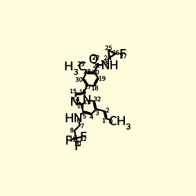 CC=Cc1cc(NCCC(F)(F)F)c2ncc(-c3ccc(C(=O)N[C@H]4C[C@@H]4F)c(C)c3)n2c1